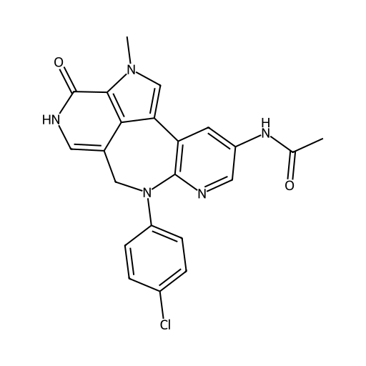 CC(=O)Nc1cnc2c(c1)-c1cn(C)c3c(=O)[nH]cc(c13)CN2c1ccc(Cl)cc1